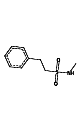 CNS(=O)(=O)CCc1ccccc1